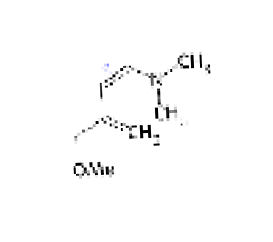 C=C(/C=C\N(C)C)COC